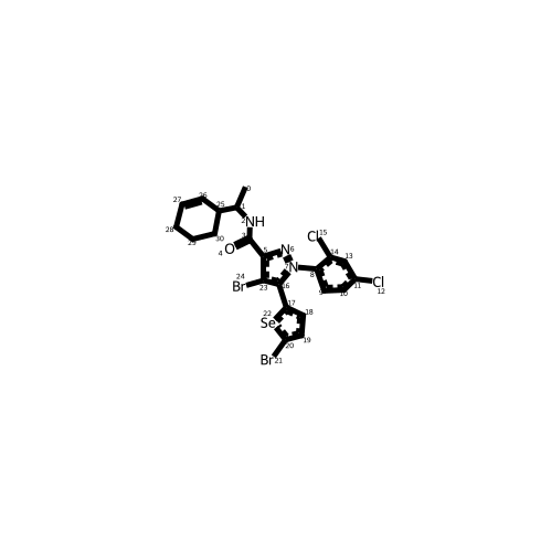 CC(NC(=O)c1nn(-c2ccc(Cl)cc2Cl)c(-c2ccc(Br)[se]2)c1Br)C1C=CCCC1